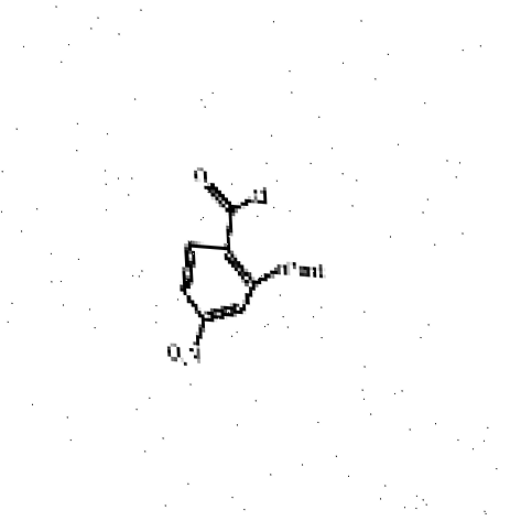 CCCCCc1cc([N+](=O)[O-])ccc1C(=O)Cl